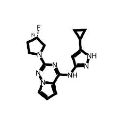 F[C@H]1CCN(c2nc(Nc3cc(C4CC4)[nH]n3)c3cccn3n2)C1